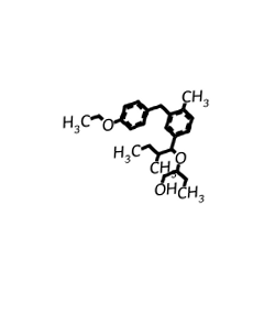 CCOc1ccc(Cc2cc(C(OC(CC)CO)C(C)CC)ccc2C)cc1